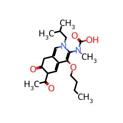 CCCCOC1=C(N(C)C(=O)O)N(CC(C)C)C=C2CC(=O)C(C(C)=O)C=C21